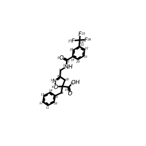 O=C(NCC1=NOC(Cc2ccccc2)(C(=O)O)C1)c1cccc(C(F)(F)F)c1